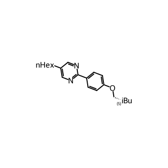 CCCCCCc1cnc(-c2ccc(OC[C@@H](C)CC)cc2)nc1